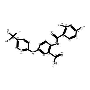 O=C(Nc1ccc(Oc2ccc(C(F)(F)F)cn2)cc1C(=O)O)c1ccc(Cl)cc1Cl